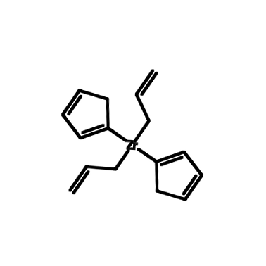 C=C[CH2][Zr]([CH2]C=C)([C]1=CC=CC1)[C]1=CC=CC1